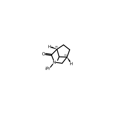 CC1[C@@H]2CC[C@H]1C(=O)N(C(C)C)C2